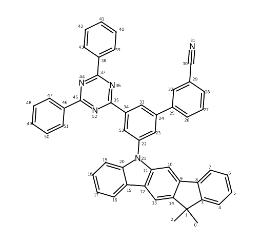 CC1(C)c2ccccc2-c2cc3c(cc21)c1ccccc1n3-c1cc(-c2cccc(C#N)c2)cc(-c2nc(-c3ccccc3)nc(-c3ccccc3)n2)c1